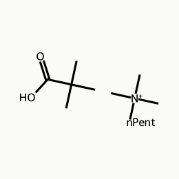 CC(C)(C)C(=O)O.CCCCC[N+](C)(C)C